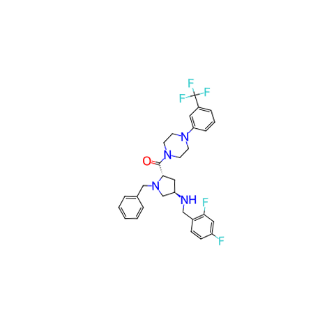 O=C([C@@H]1C[C@@H](NCc2ccc(F)cc2F)CN1Cc1ccccc1)N1CCN(c2cccc(C(F)(F)F)c2)CC1